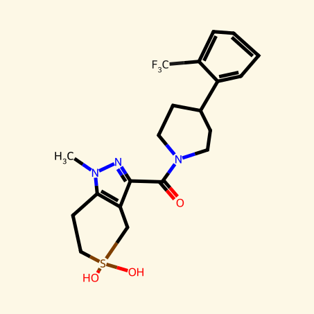 Cn1nc(C(=O)N2CCC(c3ccccc3C(F)(F)F)CC2)c2c1CCS(O)(O)C2